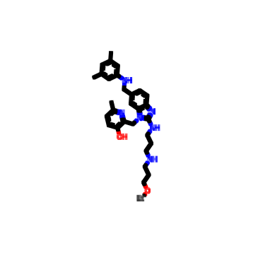 CCOCCCNCCCNc1nc2ccc(CNc3cc(C)cc(C)c3)cc2n1Cc1nc(C)ccc1O